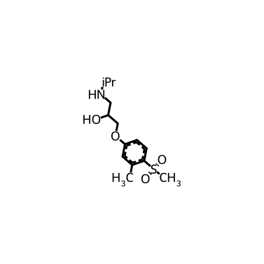 Cc1cc(OCC(O)CNC(C)C)ccc1S(C)(=O)=O